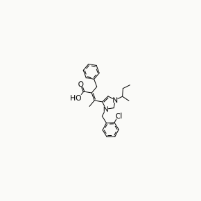 CCC(C)N1C=C(C(C)=C(Cc2ccccc2)C(=O)O)N(Cc2ccccc2Cl)C1